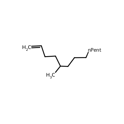 C=CCCC(C)CCCCCCCC